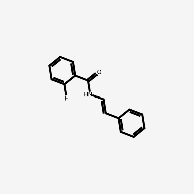 O=C(N/C=C/c1ccccc1)c1ccccc1F